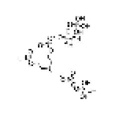 O=P(O)(O)O.O=P(O)(O)O.O=P(O)(O)O.O=[N+]([O-])OCCN(CCO[N+](=O)[O-])CCO[N+](=O)[O-]